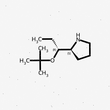 CC[C@@H](OC(C)(C)C)[C@@H]1CCCN1